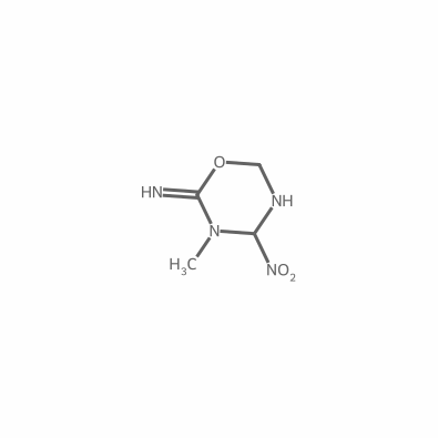 CN1C(=N)OCNC1[N+](=O)[O-]